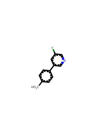 O=C(O)c1ccc(-c2cncc(F)c2)cc1